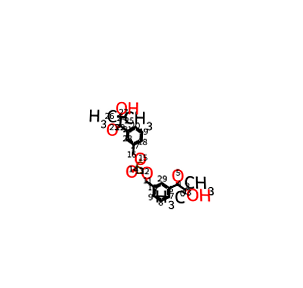 CC(C)(O)C(=O)c1cccc(COS(=O)OCc2cccc(C(=O)C(C)(C)O)c2)c1